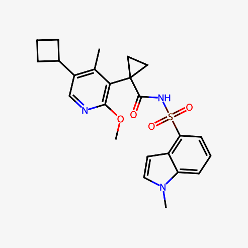 COc1ncc(C2CCC2)c(C)c1C1(C(=O)NS(=O)(=O)c2cccc3c2ccn3C)CC1